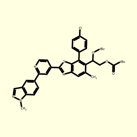 Cc1cc2nc(-c3ccnc(-c4ccc5c(cnn5C)c4)c3)sc2c(-c2ccc(Cl)cc2)c1C(COC(=O)C(C)(C)C)OC(C)(C)C